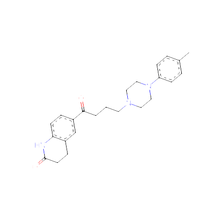 Cc1ccc(N2CCN(CCCC(=O)c3ccc4c(c3)CCC(=O)N4)CC2)cc1